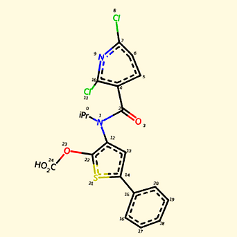 CC(C)N(C(=O)c1ccc(Cl)nc1Cl)c1cc(-c2ccccc2)sc1OC(=O)O